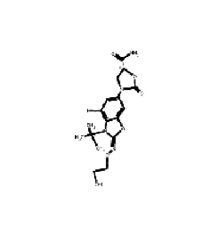 CC(C)(C)n1/c(=N\OCCO)oc2cc(N3C[C@H](C(N)=O)OC3=O)cc(F)c21